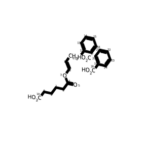 CC=COC(=O)CCCCC(=O)O.O=C(O)c1ccccc1.O=C(O)c1ccccc1